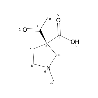 CC(=O)[C@]1(C(=O)O)CCN(C)C1